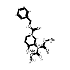 COC1CCN(C(=O)OCc2ccccc2)CC1N(C(=O)OC(C)(C)C)C(=O)OC(C)(C)C